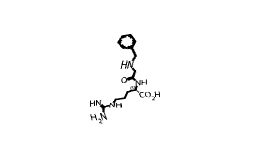 N=C(N)NCCC[C@H](NC(=O)CNCc1ccccc1)C(=O)O